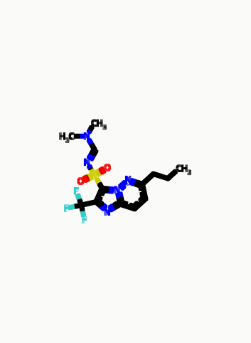 CCCc1ccc2nc(C(F)(F)F)c(S(=O)(=O)N=CN(C)C)n2n1